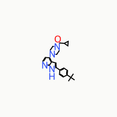 CC(C)(C)c1ccc(-c2cc3c(N4CCN(C(=O)C5CC5)CC4)ccnc3[nH]2)cc1